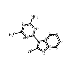 Cc1nc(N)nc(-c2c(Cl)nc3ccccn23)n1